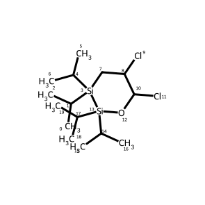 CC(C)[Si]1(C(C)C)CC(Cl)C(Cl)O[Si]1(C(C)C)C(C)C